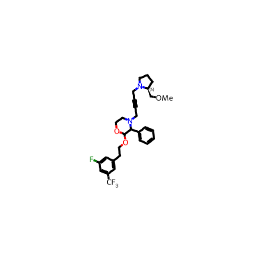 COC[C@@H]1CCCN1CC#CCN1CCOC(OCCc2cc(F)cc(C(F)(F)F)c2)C1c1ccccc1